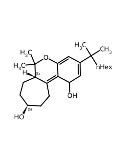 CCCCCCC(C)(C)C1=CC(O)C2=C3CC[C@@H](O)CC[C@@H]3C(C)(C)OC2=C1